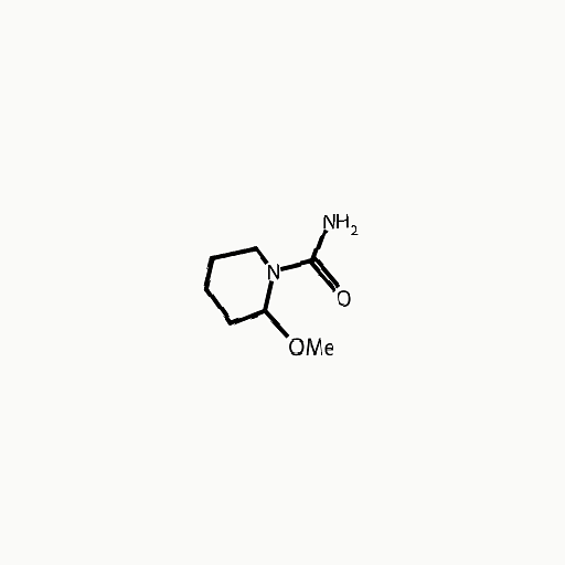 COC1CCCCN1C(N)=O